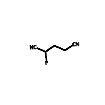 N#CCCC(F)C#N